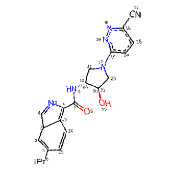 CC(C)C1=CC2C=NC(C(=O)N[C@@H]3CN(c4ccc(C#N)nn4)C[C@H]3O)=C2C=C1